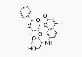 CO[C@@H](OC1COC(c2ccccc2)O[C@H]1C)[C@H](CO)Nc1ccc2c(C)cc(=O)oc2c1